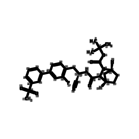 CC(C)(C)OC(=O)N1[C@@H]2CC[C@@H](C2)[C@H]1C(=O)N[C@H](C#N)Cc1ccc(-c2cccc(S(C)(=O)=O)c2)cc1F